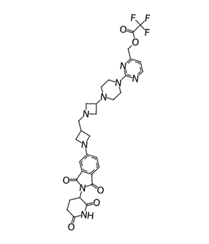 O=C1CCC(N2C(=O)c3ccc(N4CC(CN5CC(N6CCN(c7nccc(COC(=O)C(F)(F)F)n7)CC6)C5)C4)cc3C2=O)C(=O)N1